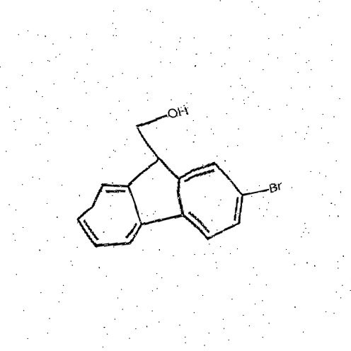 OCC1c2ccccc2-c2ccc(Br)cc21